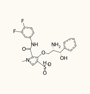 Cn1cc([SH](=O)=O)c(OC[C@H](N)[C@@H](O)c2ccccc2)c1C(=O)Nc1ccc(F)c(F)c1